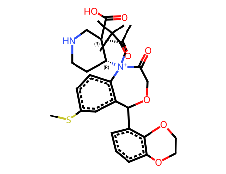 CSc1ccc2c(c1)C(c1cccc3c1OCCO3)OCC(=O)[N+]2(CC(C)(C)C)[C@@H]1CCNC[C@@]1(C(C)=O)C(=O)O